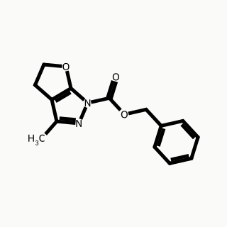 Cc1nn(C(=O)OCc2ccccc2)c2c1CCO2